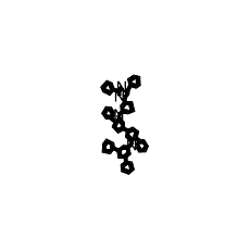 c1ccc(-c2cc(-c3ccccc3)cc(-n3c4ccccc4c4ccc(-c5ccc6c7ccccc7n(-c7cccc(-c8cc(-c9ccccc9)nc(-c9ccccc9)n8)c7)c6c5)cc43)c2)cc1